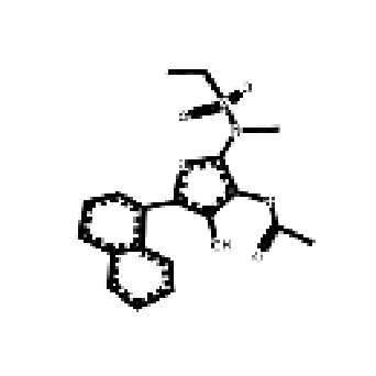 CCS(=O)(=O)N(C)c1oc(-c2cccc3ccccc23)c(O)c1OC(C)=O